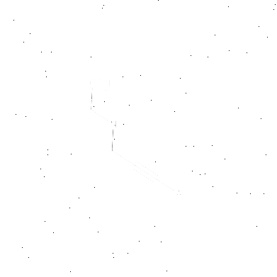 CC(=O)C#CCNCC(=O)O